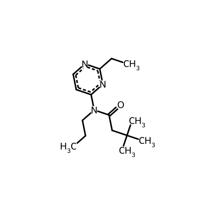 CCCN(C(=O)CC(C)(C)C)c1ccnc(CC)n1